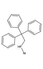 [Ni][PH]CC(c1ccccc1)(c1ccccc1)c1ccccc1